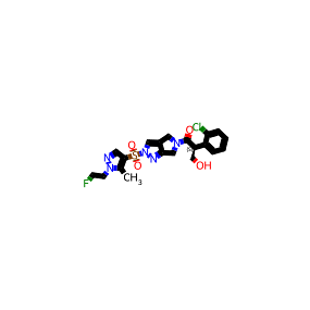 Cc1c(S(=O)(=O)n2cc3c(n2)CN(C(=O)[C@H](CO)c2ccccc2Cl)C3)cnn1CCF